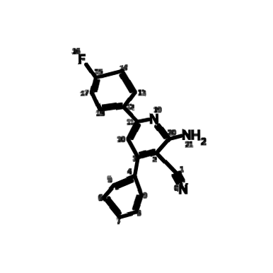 N#Cc1c(-c2ccccc2)cc(-c2ccc(F)cc2)nc1N